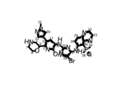 COc1nc(C2CNCCO2)c(-c2cnn(C)c2)cc1Nc1ncc(Br)c(Nc2ccc3nccnc3c2P(C)(C)=O)n1